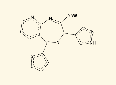 CNC1=Nc2ncccc2C(c2cccs2)=NC1c1cn[nH]c1